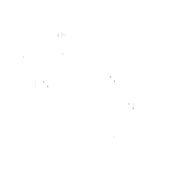 Cn1cnc2cc(NC(=O)OC(C)(C)C)ccc2c1=O